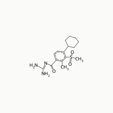 Cc1c(C(=O)N=C(N)N)ccc(C2CCCCC2)c1S(C)(=O)=O